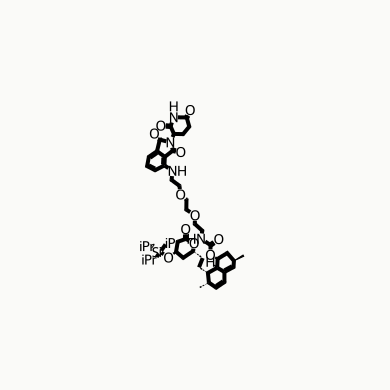 CC(C)[Si](O[C@H]1CC(=O)O[C@H](CC[C@@H]2[C@@H]3C(=C[C@H](C)C[C@@H]3OC(=O)NCCOCCOCCNc3cccc4c3C(=O)N(C3CCC(=O)NC3=O)C4=O)C=C[C@@H]2C)C1)(C(C)C)C(C)C